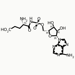 Nc1ncnc2c1ncn2[C@@H]1O[C@H](COS(=O)(=O)NC(=O)[C@@H](N)CCC(=O)O)[C@@H](O)[C@H]1O